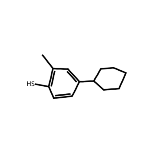 Cc1cc(C2CCCCC2)ccc1S